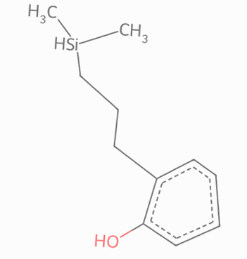 C[SiH](C)CCCc1ccccc1O